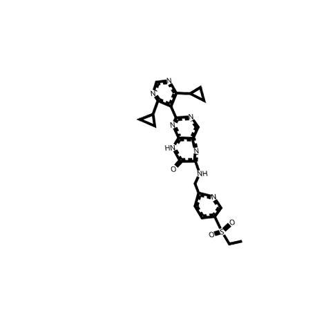 CCS(=O)(=O)c1ccc(CNc2nc3cnc(-c4c(C5CC5)ncnc4C4CC4)nc3[nH]c2=O)nc1